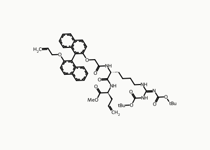 C=CCOc1ccc2ccccc2c1-c1c(OCC(=O)N[C@H](CCCCN/C(=N/C(=O)OC(C)(C)C)NC(=O)OC(C)(C)C)C(=O)N[C@@H](CC=C)C(=O)OC)ccc2ccccc12